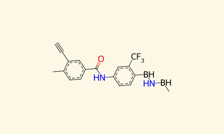 C#Cc1cc(C(=O)Nc2ccc(BNBC)c(C(F)(F)F)c2)ccc1C